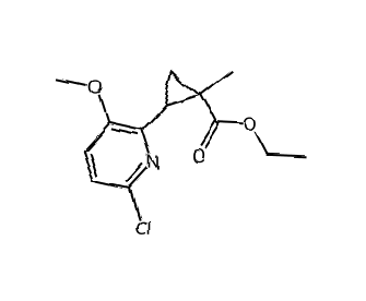 CCOC(=O)C1(C)CC1c1nc(Cl)ccc1OC